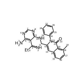 CCC(=N)c1c(N)ncnc1NCc1cc2cccc(C)c2c(=O)n1-c1ccccc1